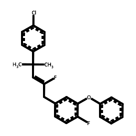 CC(C)(C=C(F)Cc1ccc(F)c(Oc2ccccc2)c1)c1ccc(Cl)cc1